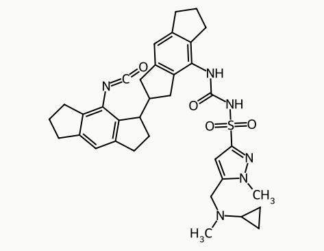 CN(Cc1cc(S(=O)(=O)NC(=O)Nc2c3c(cc4c2CC(C2CCc5cc6c(c(N=C=O)c52)CCC6)C4)CCC3)nn1C)C1CC1